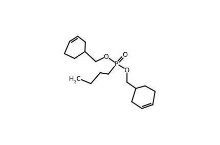 CCCCP(=O)(OCC1CC=CCC1)OCC1CC=CCC1